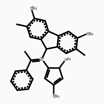 CCCC1C=C(C(C)(C)C)C=[C]1[Zr](=[C](C)c1ccccc1)[CH]1c2cc(C)c(C(C)(C)C)cc2-c2cc(C(C)(C)C)c(C)cc21